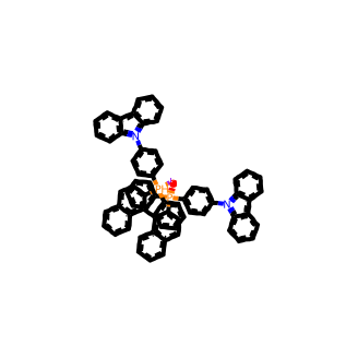 O=P(c1ccccc1)(c1ccc(-n2c3ccccc3c3ccccc32)cc1)c1ccc2ccccc2c1-c1c([PH](I)(c2ccccc2)c2ccc(-n3c4ccccc4c4ccccc43)cc2)ccc2ccccc12